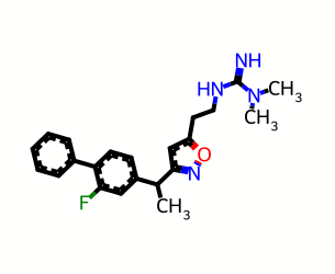 CC(c1ccc(-c2ccccc2)c(F)c1)c1cc(CCNC(=N)N(C)C)on1